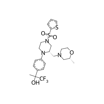 C[C@@H]1CN(C[C@H]2CN(S(=O)(=O)c3cccs3)CCN2c2ccc(C(C)(O)C(F)(F)F)cc2)CCO1